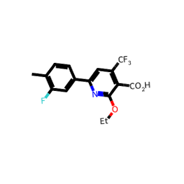 CCOc1nc(-c2ccc(C)c(F)c2)cc(C(F)(F)F)c1C(=O)O